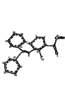 COC(=O)c1ccnc(N=C(c2ccccc2)c2ccccc2)c1F